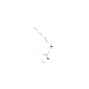 CCOCOCCOC(=O)SC[C@H](N)C(=O)O